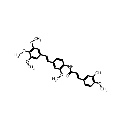 COc1ccc(/C=C/C(=O)Nc2ccc(C=Cc3cc(OC)c(OC)c(OC)c3)cc2OC)cc1O